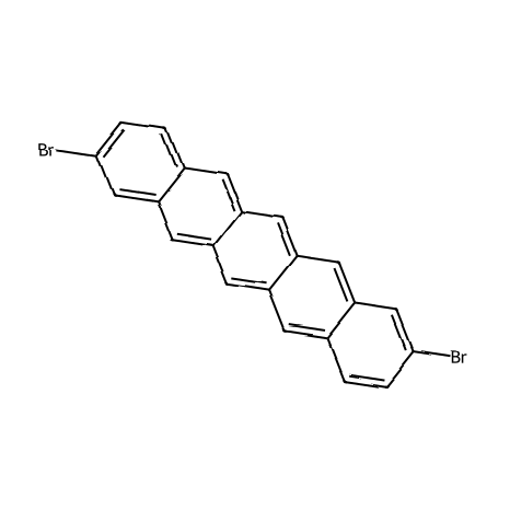 Brc1ccc2cc3cc4cc5cc(Br)ccc5cc4cc3cc2c1